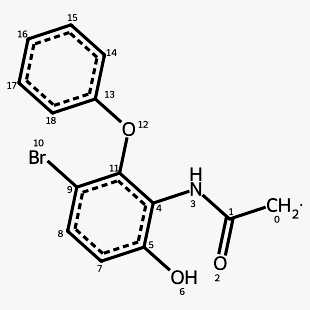 [CH2]C(=O)Nc1c(O)ccc(Br)c1Oc1ccccc1